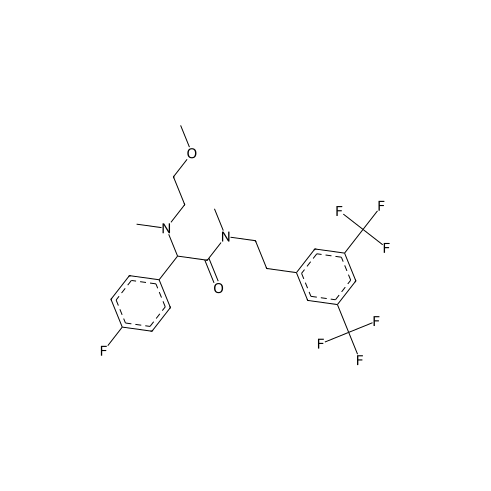 COCCN(C)C(C(=O)N(C)CCc1cc(C(F)(F)F)cc(C(F)(F)F)c1)c1ccc(F)cc1